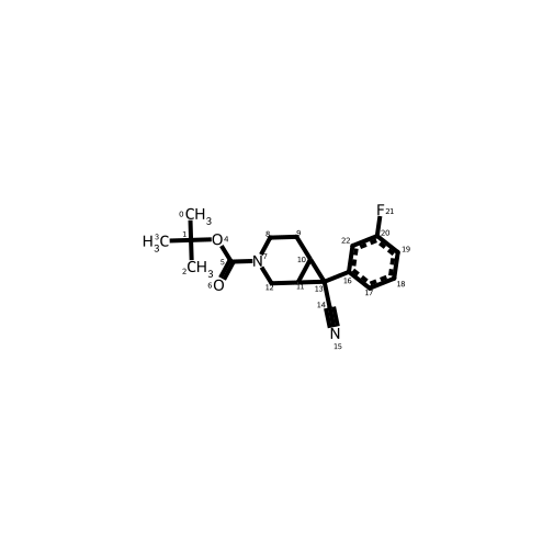 CC(C)(C)OC(=O)N1CCC2C(C1)C2(C#N)c1cccc(F)c1